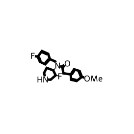 COc1ccc(CC(=O)N(Cc2ccc(F)cc2)[C@H]2CCNC[C@H]2F)cc1